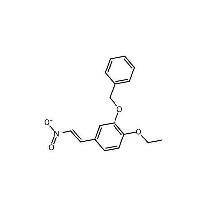 CCOc1ccc(/C=C/[N+](=O)[O-])cc1OCc1ccccc1